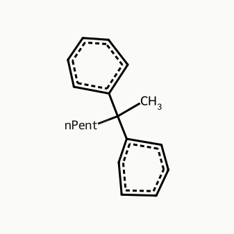 CCCCCC(C)(c1ccccc1)c1ccccc1